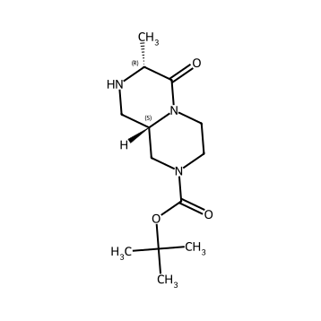 C[C@H]1NC[C@H]2CN(C(=O)OC(C)(C)C)CCN2C1=O